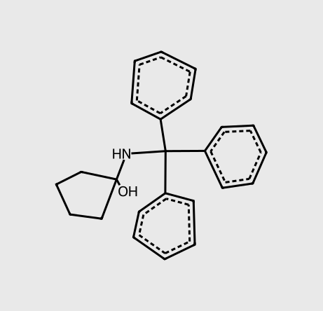 OC1(NC(c2ccccc2)(c2ccccc2)c2ccccc2)CCCC1